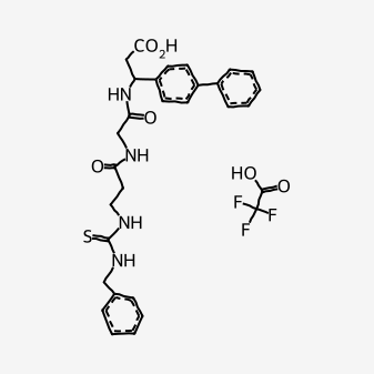 O=C(O)C(F)(F)F.O=C(O)CC(NC(=O)CNC(=O)CCNC(=S)NCc1ccccc1)c1ccc(-c2ccccc2)cc1